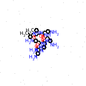 C=Cc1ccccc1CN(C(=O)CCC(=O)NC(Cc1ccc(N)cc1)C(=O)NC(Cc1ccc(N)cc1)C(=O)NC(Cc1ccc(N)cc1)C(=O)NC(Cc1ccc(N)cc1)C(=O)NC(Cc1ccc(N)cc1)C(N)=O)c1ccccc1C